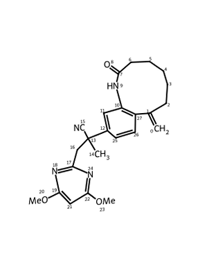 C=C1CCCCCC(=O)Nc2cc(C(C)(C#N)Cc3nc(OC)cc(OC)n3)ccc21